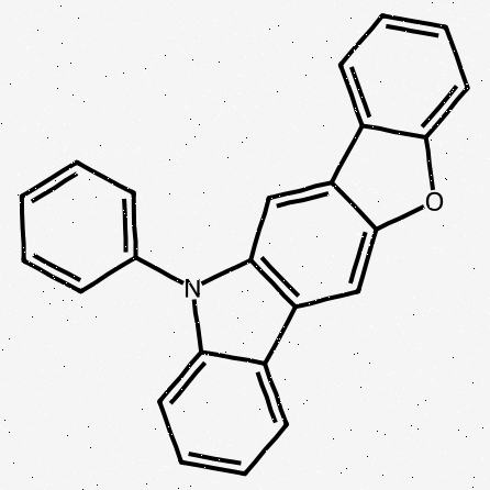 c1ccc(-n2c3ccccc3c3cc4oc5ccccc5c4cc32)cc1